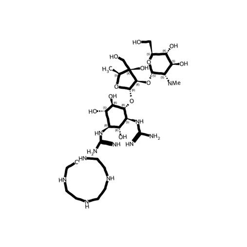 C1CNCCNCCNCCN1.CN[C@@H]1[C@H](O[C@H]2[C@H](O[C@H]3[C@H](O)[C@@H](O)[C@H](NC(=N)N)[C@@H](O)[C@@H]3NC(=N)N)O[C@@H](C)[C@]2(O)CO)O[C@@H](CO)[C@H](O)[C@H]1O